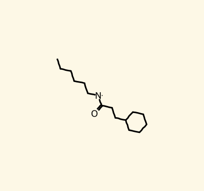 CCCCCC[N]C(=O)CCC1CCCCC1